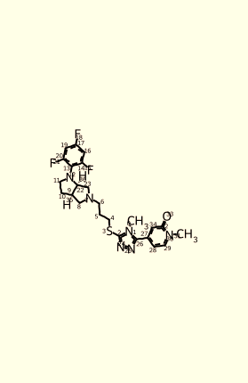 Cn1c(SCCCN2C[C@H]3CCN(c4c(F)cc(F)cc4F)[C@H]3C2)nnc1-c1ccn(C)c(=O)c1